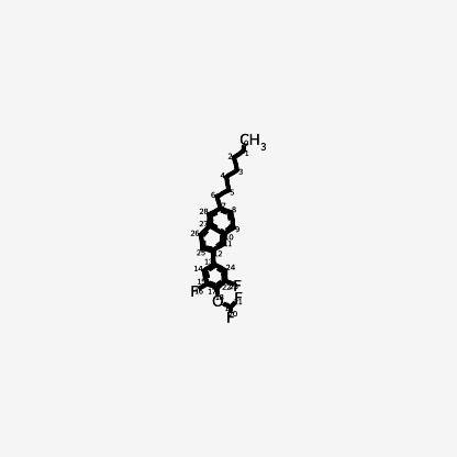 CCCCCCCc1ccc2cc(-c3cc(F)c(OC(F)F)c(F)c3)ccc2c1